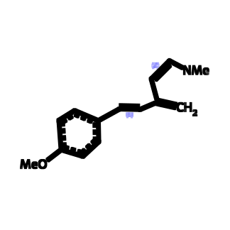 C=C(/C=C\NC)/C=C/c1ccc(OC)cc1